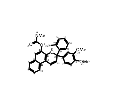 CNC(=O)Oc1cc2ccccc2c2c1OC(c1ccc(OC)c(OC)c1)(c1ccccc1F)C=C2